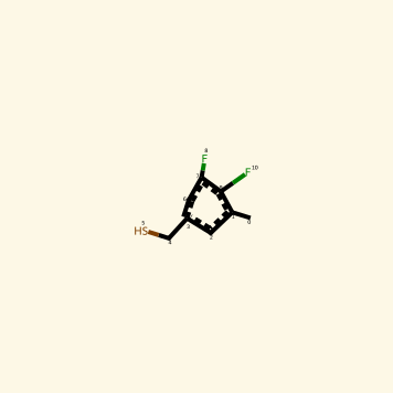 Cc1cc(CS)cc(F)c1F